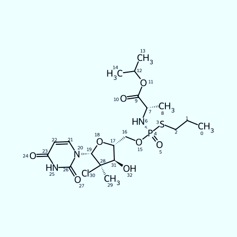 CCCS[P@](=O)(N[C@@H](C)C(=O)OC(C)C)OC[C@H]1O[C@@H](n2ccc(=O)[nH]c2=O)[C@](C)(Cl)[C@@H]1O